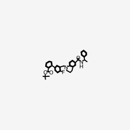 CC(NC(=O)c1ccc2c(c1)CCCN2Cc1cc(-c2ccccc2C(=O)OC(C)(C)C)ccc1F)c1ccccc1